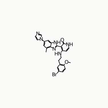 COc1ccc(Br)cc1CCNc1cc[nH]c(=O)c1-c1nc2c(C)cc(-n3ccnc3)cc2[nH]1